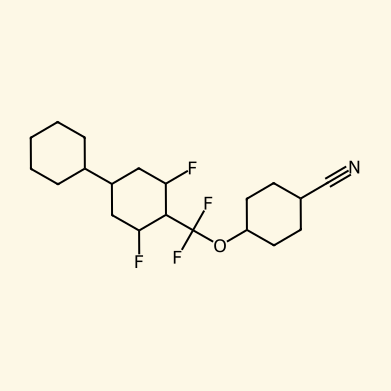 N#CC1CCC(OC(F)(F)C2C(F)CC(C3CCCCC3)CC2F)CC1